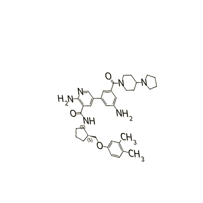 Cc1ccc(OC[C@H]2CCC[C@@H]2NC(=O)c2cc(-c3cc(N)cc(C(=O)N4CCC(N5CCCC5)CC4)c3)cnc2N)cc1C